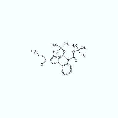 CCOC(=O)c1cc(-c2cccnc2N(C(=O)OC(C)(C)C)C(=O)OC(C)(C)C)on1